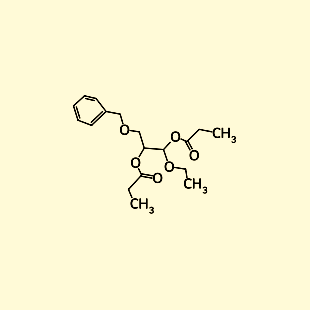 CCOC(OC(=O)CC)C(COCc1ccccc1)OC(=O)CC